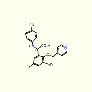 CCCc1cc(CC)cc([C@@H](Nc2ccc(C#N)cc2)C(=O)O)c1OCc1ccncc1